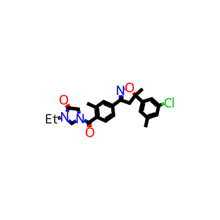 CCN1CN(C(=O)c2ccc(C3=NOC(C)(c4cc(C)cc(Cl)c4)C3)cc2C)CC1=O